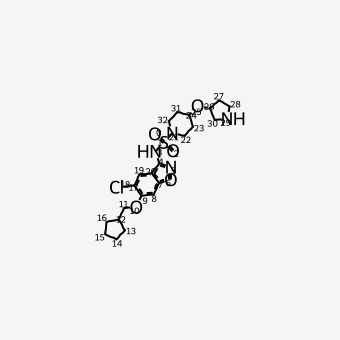 O=S(=O)(Nc1noc2cc(OCC3CCCC3)c(Cl)cc12)N1CCC(O[C@H]2CCNC2)CC1